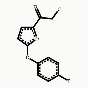 O=C(CCl)c1ccc(Oc2ccc(F)cc2)o1